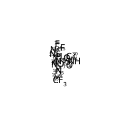 CC1(NS(=O)(=O)c2cc(N3CCC(C(F)(F)F)CC3)c3ncc(-c4nnc(C(F)F)s4)n3c2)CC1